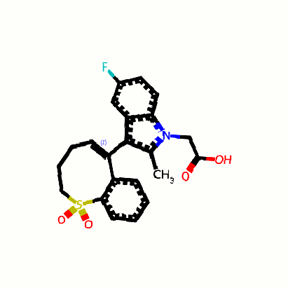 Cc1c(/C2=C/CCCS(=O)(=O)c3ccccc32)c2cc(F)ccc2n1CC(=O)O